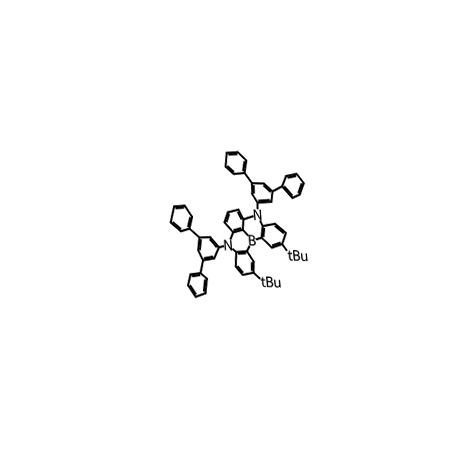 CC(C)(C)c1ccc2c(c1)B1c3cc(C(C)(C)C)ccc3N(c3cc(-c4ccccc4)cc(-c4ccccc4)c3)c3cccc(c31)N2c1cc(-c2ccccc2)cc(-c2ccccc2)c1